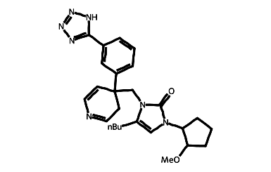 CCCCc1cn(C2CCCC2OC)c(=O)n1CC1(c2cccc(-c3nnn[nH]3)c2)C=CN=CC1